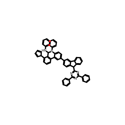 C1=CC(c2cccc3c2C(Nc2ccccc2)N(c2ccccc2)c2ccc(-c4ccc5c(c4)-c4ccccc4C5c4nc(-c5ccccc5)nc(-c5ccccc5)n4)cc2-3)C=C1